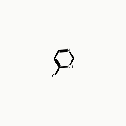 ClC1=CC=NCN1